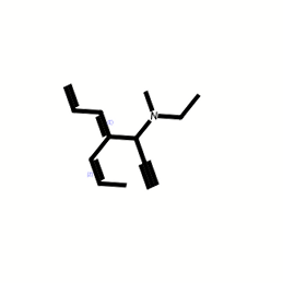 C#CC(C(/C=C\C)=C/C=C)N(C)CC